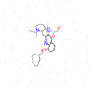 COCCOc1cc(CC2C(N)CCCN2C(C)C)nc2c(OCC3CCCCC3)cccc12